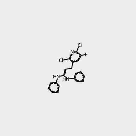 Fc1cc(CC=C(Nc2ccccc2)Nc2ccccc2)c(Cl)nc1Cl